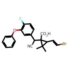 CC1(C)C(C=CBr)C1(C(=O)O)C(C#N)c1ccc(F)c(Oc2ccccc2)c1